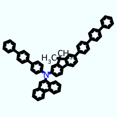 CC1(C)c2cc(-c3ccc(-c4ccc(-c5ccccc5)cc4)cc3)ccc2-c2ccc(N(c3ccc(-c4ccc(-c5ccccc5)cc4)cc3)c3cc4ccccc4c4ccccc34)cc21